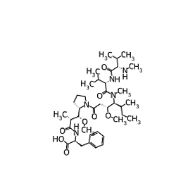 CCC(C)[C@@H]([C@@H](CC(=O)N1CCC[C@H]1[C@H](OC)[C@@H](C)C(=O)N[C@@H](Cc1ccccc1)C(=O)O)OC)N(C)C(=O)[C@@H](NC(=O)[C@@H](NC)C(C)C)C(C)C